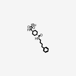 CC(C)(C)S(=O)(=O)N[C@H]1CC[C@H](C(=O)NCCCCc2ccccc2)CC1